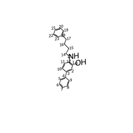 Oc1cc(-c2ccccc2)ccc1NCCCCc1ccccc1